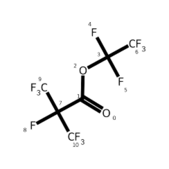 O=C(OC(F)(F)C(F)(F)F)C(F)(C(F)(F)F)C(F)(F)F